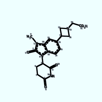 Cn1c(=O)n(C2CCC(=O)NC2=O)c2ccc(C3CN(CC(=O)O)C3)cc21